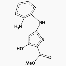 COC(=O)c1sc(Nc2ccccc2N)cc1O